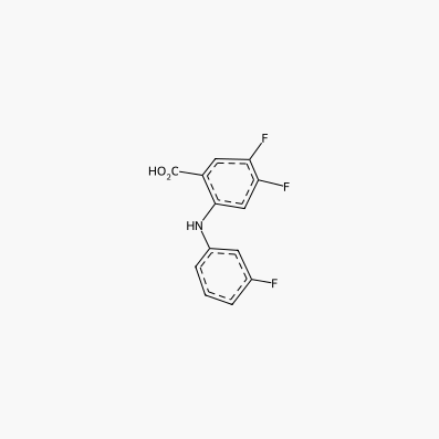 O=C(O)c1cc(F)c(F)cc1Nc1cccc(F)c1